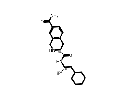 CC(C)[C@@H](CC1CCCCC1)NC(=O)[C@H]1Cc2ccc(C(N)=O)cc2CN1